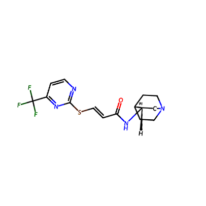 O=C(C=CSc1nccc(C(F)(F)F)n1)N[C@H]1CN2CCC1CC2